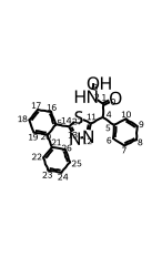 O=C(NO)C(c1ccccc1)c1nnc(-c2ccccc2-c2ccccc2)s1